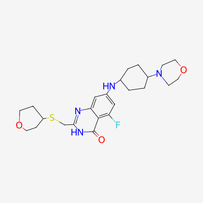 O=c1[nH]c(CSC2CCOCC2)nc2cc(NC3CCC(N4CCOCC4)CC3)cc(F)c12